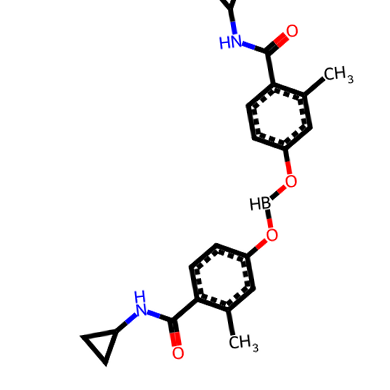 Cc1cc(OBOc2ccc(C(=O)NC3CC3)c(C)c2)ccc1C(=O)NC1CC1